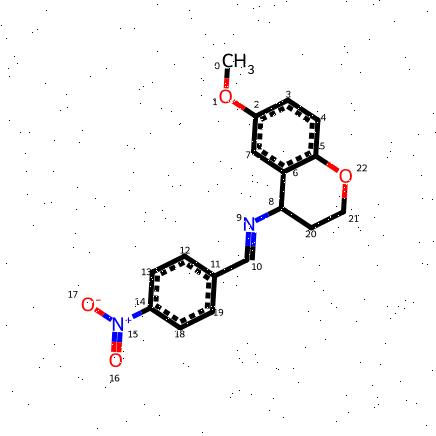 COc1ccc2c(c1)C(N=Cc1ccc([N+](=O)[O-])cc1)CCO2